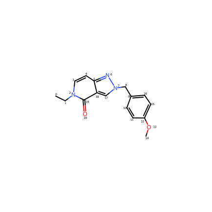 CCn1ccc2nn(Cc3ccc(OC)cc3)cc2c1=O